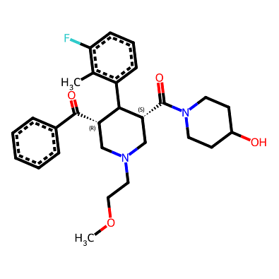 COCCN1C[C@H](C(=O)c2ccccc2)C(c2cccc(F)c2C)[C@H](C(=O)N2CCC(O)CC2)C1